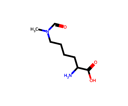 CN(C=O)CCCCC(N)C(=O)O